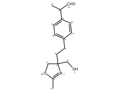 CC1=NC(CO)(CCc2ccc(C(C)C=O)cc2)CO1